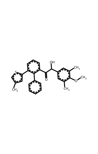 COc1c(C)cc(C(O)C(=O)c2cccc(-c3cc(C)cs3)c2-c2ccccc2)cc1C